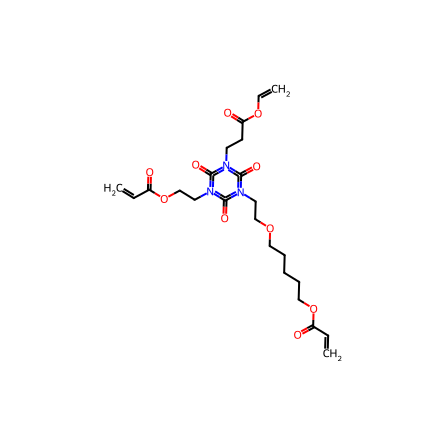 C=COC(=O)CCn1c(=O)n(CCOCCCCCOC(=O)C=C)c(=O)n(CCOC(=O)C=C)c1=O